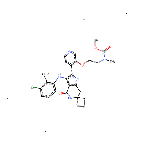 COc1c(Cl)cccc1Nc1c(-c2ccncc2OCCN(C)C(=O)OC(C)(C)C)[nH]c2c1C(=O)NC1(CCC1)C2